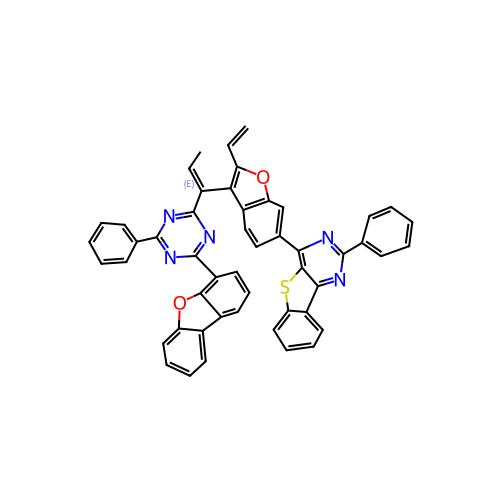 C=Cc1oc2cc(-c3nc(-c4ccccc4)nc4c3sc3ccccc34)ccc2c1/C(=C\C)c1nc(-c2ccccc2)nc(-c2cccc3c2oc2ccccc23)n1